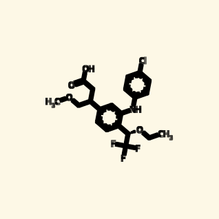 CCO[C@@H](c1ccc(C(COC)CC(=O)O)cc1Nc1ccc(Cl)cc1)C(F)(F)F